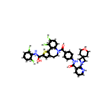 O=C(Nc1ccc(C(=O)N2CCc3cc(C(O)Nc4c(F)cccc4F)sc3-c3c2ccc(F)c3F)cc1)c1cccnc1N1CC2(CCOCC2)C1